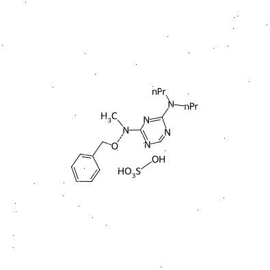 CCCN(CCC)c1ncnc(N(C)OCc2ccccc2)n1.O=S(=O)(O)O